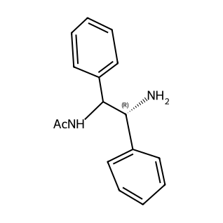 CC(=O)NC(c1ccccc1)[C@H](N)c1ccccc1